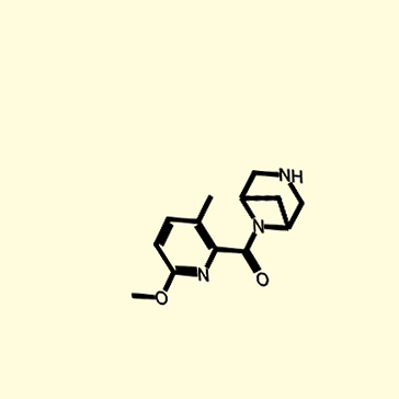 COc1ccc(C)c(C(=O)N2C3CNCC2C3)n1